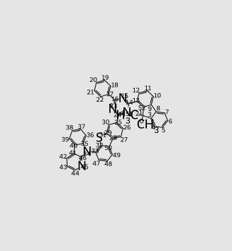 CC1(C)c2ccccc2-c2cccc(-c3nc(-c4ccccc4)nc(-c4ccc5c(c4)sc4c(-n6c7ccccc7c7cccnc76)cccc45)n3)c21